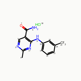 Cc1ncc(C(N)=O)c(Nc2cccc(C(F)(F)F)c2)n1.Cl